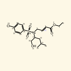 CCOC(=O)/C=C/CN(C(CO)CC(C)C)S(=O)(=O)c1ccc(Cl)cc1